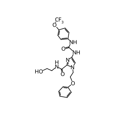 O=C(Nc1ccc(OC(F)(F)F)cc1)Nc1cn(CCOc2ccccc2)c(C(=O)NCCO)n1